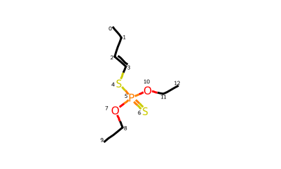 CCC=CSP(=S)(OCC)OCC